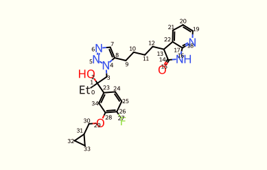 CCC(O)(Cn1nncc1CCCCC1C(=O)Nc2ncccc21)c1ccc(F)c(OCC2CC2)c1